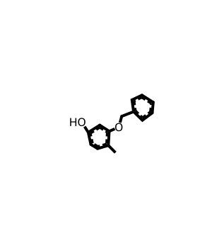 Cc1ccc(O)cc1OCc1ccccc1